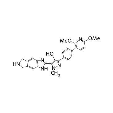 COc1ccc(-c2ccc(-c3nn(C)c(-c4nc5cc6c(cc5[nH]4)CNC6)c3O)cc2)c(OC)n1